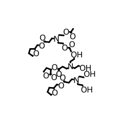 CC(=O)OCCN(CCOC(C)=O)CCC(=O)OCC1CCCO1.O=C(CCN(CCO)CCO)OC1CCOC1=O.O=C(CCN(CCO)CCO)OCC1CCCO1